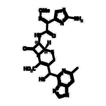 CON=C(C(=O)N[C@@H]1C(=O)N2C(C(=O)O)=C(C(S)c3nc(C)cc4ncnn34)CS[C@H]12)c1csc(N)n1